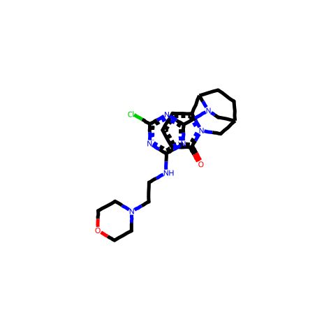 O=c1cccc2n1CC1CCC2N(c2nc(Cl)nc(NCCN3CCOCC3)n2)C1